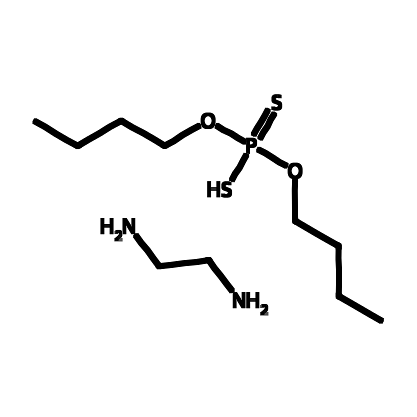 CCCCOP(=S)(S)OCCCC.NCCN